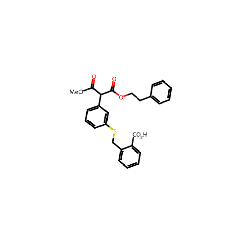 COC(=O)C(C(=O)OCCc1ccccc1)c1cccc(SCc2ccccc2C(=O)O)c1